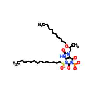 CCCCCCCCCCCCCC[S+]([O-])n1c(=O)n(P(=O)=O)c(=O)c2c1[nH]c(=O)n2CC(C)OCCCCCCCCCC